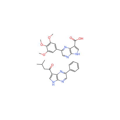 CC(C)CC(=O)c1c[nH]c2ncc(-c3ccccc3)nc12.COc1cc(-c2cnc3[nH]cc(C(=O)O)c3n2)cc(OC)c1OC